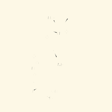 C=C(C)[C@H]1OC2CC[C@@]3(C)C(CC[C@]4(OC)O[C@@H]5OC(C)(C)[C@H]6C[C@@H]7C(=C)Cc8ccc9[nH]c(c5c9c8[C@@]76O)[C@@]43C)[C@]23O[C@@H]3[C@H]1O